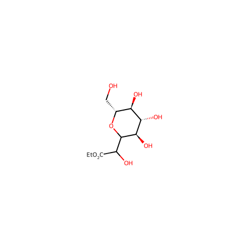 CCOC(=O)C(O)C1O[C@H](CO)[C@@H](O)[C@H](O)[C@H]1O